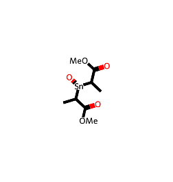 COC(=O)[CH](C)[Sn](=[O])[CH](C)C(=O)OC